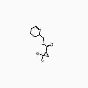 O=C(OCC1C=CCCC1)C1CC1(Br)Br